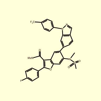 CNC(=O)c1c(-c2ccc(F)cc2)oc2cc(N(C)S(C)(=O)=O)c(-c3ccc4cnn(-c5ccc(C(F)(F)F)cc5)c4c3)cc12